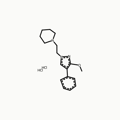 COc1nn(CCN2CCCCC2)cc1-c1ccccc1.Cl.Cl